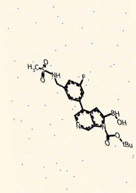 CC(C)(C)OC(=O)n1c(BO)cc2c(-c3cc(F)cc(CNS(C)(=O)=O)c3)cncc21